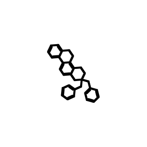 c1ccc(CC2(Cc3ccccc3)CCc3c(ccc4c3CCc3ccccc3-4)C2)cc1